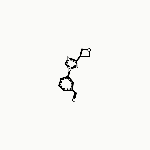 O=Cc1cccc(-n2cnc(C3COC3)n2)c1